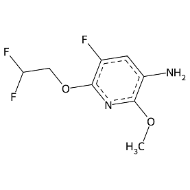 COc1nc(OCC(F)F)c(F)cc1N